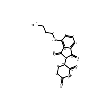 O=CCCCOc1cccc2c1C(=O)N(C1CCC(=O)NC1=O)C2=O